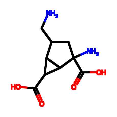 NCC1CC(N)(C(=O)O)C2C(C(=O)O)C12